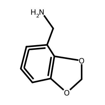 NCC1=C=C=CC2=C1OCO2